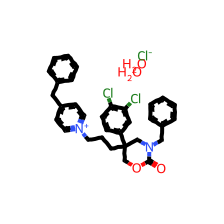 O.O.O=C1OCC(CCC[n+]2ccc(Cc3ccccc3)cc2)(c2ccc(Cl)c(Cl)c2)CN1Cc1ccccc1.[Cl-]